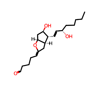 CCCCC[C@H](O)/C=C/[C@@H]1[C@H]2C/C(=C/CCCC=O)O[C@H]2C[C@H]1O